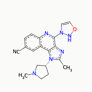 Cc1nc2c(N3C=CON3)nc3ccc(C#N)cc3c2n1[C@@H]1CCN(C)C1